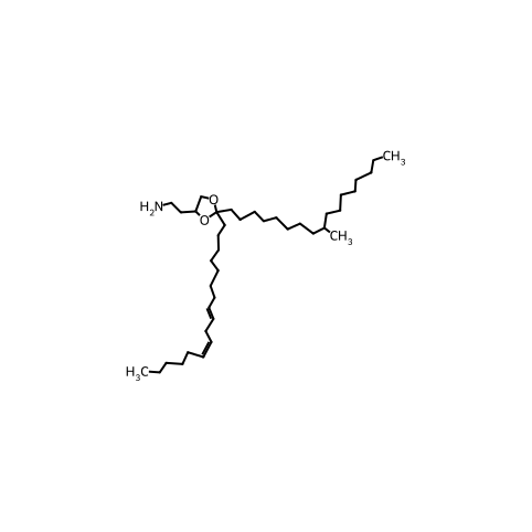 CCCCC/C=C\C/C=C/CCCCCCCC1(CCCCCCCCC(C)CCCCCCCC)OCC(CCN)O1